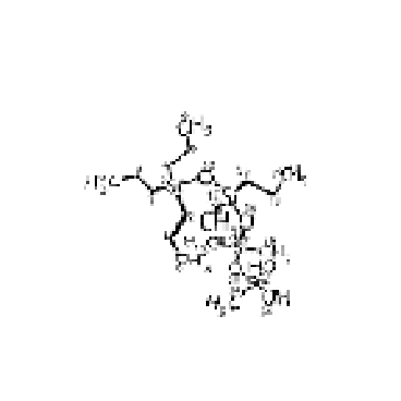 CCC[Si](CCC)(CCC)O[Si](C)(CCC)O[Si](C)(C)O[Si](C)(O)O